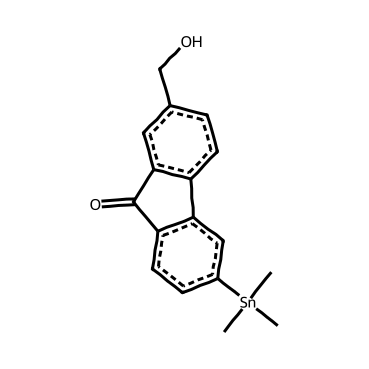 [CH3][Sn]([CH3])([CH3])[c]1ccc2c(c1)-c1ccc(CO)cc1C2=O